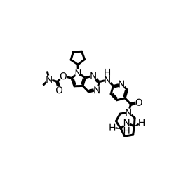 CN(C)C(=O)Oc1cc2cnc(Nc3ccc(C(=O)N4CC[C@H]5CC[C@@H](C4)N5)cn3)nc2n1C1CCCC1